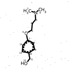 CN(C)CCCOc1ccc(CO)cc1